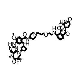 COc1cc(C(=O)NC2CCN(CCCOCCNc3cccc4c3C(=O)N(C3CCC(=O)NC3=O)C4=O)CC2)c(F)cc1Nc1ncc2c(n1)N(C1CCCC1)CC(F)(F)C(=O)N2C